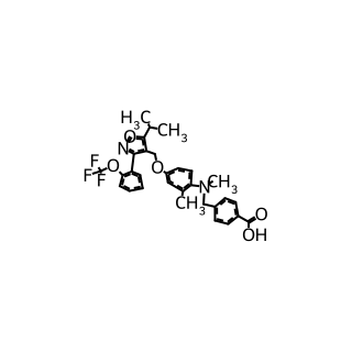 Cc1cc(OCc2c(-c3ccccc3OC(F)(F)F)noc2C(C)C)ccc1N(C)Cc1ccc(C(=O)O)cc1